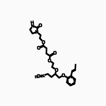 C/C=C/c1ccccc1OCC(CCCCCCCCCCCC)OCCOC(=O)CCC(=O)OCCN1CCNC1=O